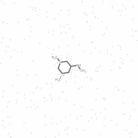 CNC1C[C@H](C)CN(C)C1